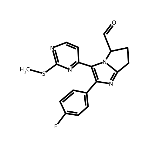 CSc1nccc(-c2c(-c3ccc(F)cc3)nc3n2C(C=O)CC3)n1